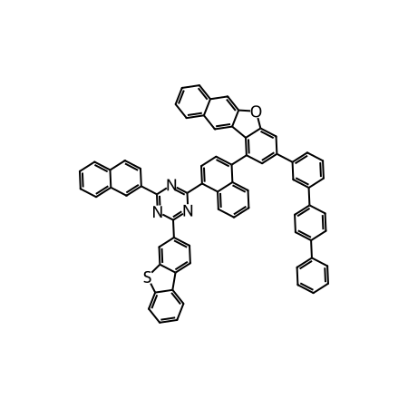 c1ccc(-c2ccc(-c3cccc(-c4cc(-c5ccc(-c6nc(-c7ccc8ccccc8c7)nc(-c7ccc8c(c7)sc7ccccc78)n6)c6ccccc56)c5c(c4)oc4cc6ccccc6cc45)c3)cc2)cc1